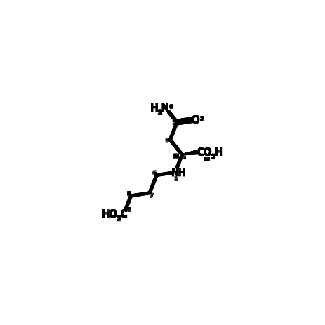 NC(=O)C[C@H](NCCCC(=O)O)C(=O)O